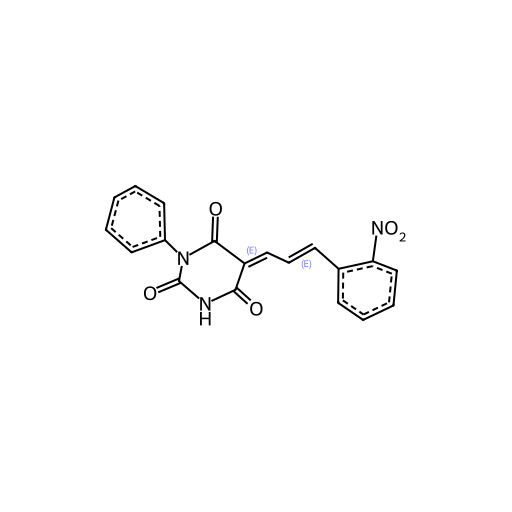 O=C1NC(=O)N(c2ccccc2)C(=O)/C1=C/C=C/c1ccccc1[N+](=O)[O-]